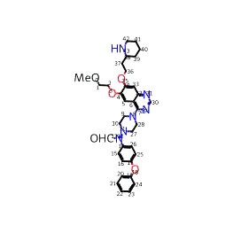 COCCOc1cc2c(N3CCN(N(C=O)c4ccc(Oc5ccccc5)cc4)CC3)ncnc2cc1OCCC1CCCCN1